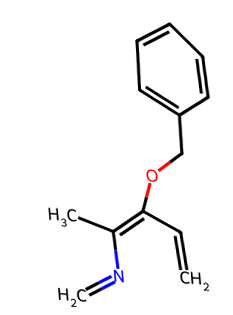 C=C/C(OCc1ccccc1)=C(/C)N=C